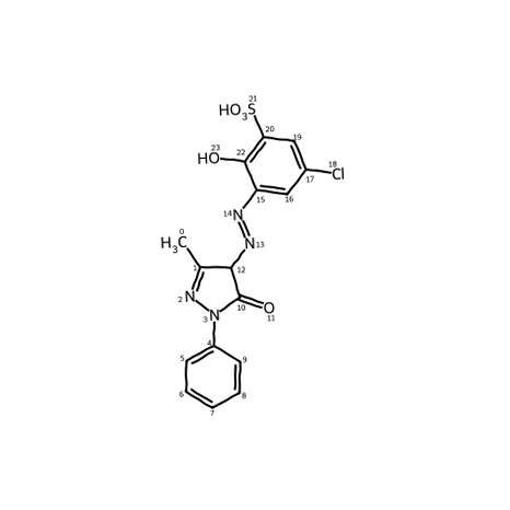 CC1=NN(c2ccccc2)C(=O)C1/N=N/c1cc(Cl)cc(S(=O)(=O)O)c1O